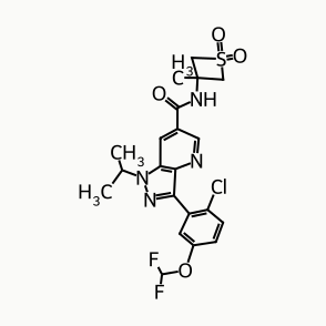 CC(C)n1nc(-c2cc(OC(F)F)ccc2Cl)c2ncc(C(=O)NC3(C)CS(=O)(=O)C3)cc21